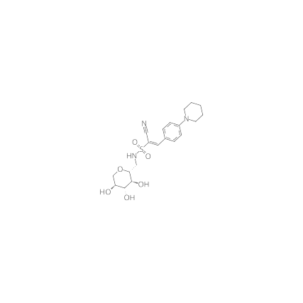 N#C/C(=C\c1ccc(N2CCCCC2)cc1)S(=O)(=O)NC[C@H]1OC[C@H](O)[C@@H](O)[C@@H]1O